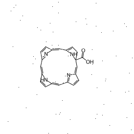 O=C(O)C12C=C3C=CC(=N3)C=c3ccc([nH]3)=CC3=NC(=CC(=CC1)N2)C=C3